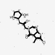 CC1=C(Cl)SC2N=CN(CC(=O)C[C@H]3NCC[C@@H]3O)C(=O)C12